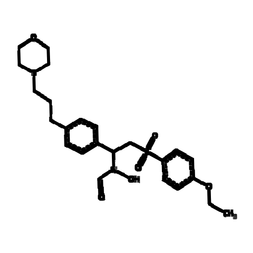 CCOc1ccc(S(=O)(=O)CC(c2ccc(CCCN3CCOCC3)cc2)N(O)C=O)cc1